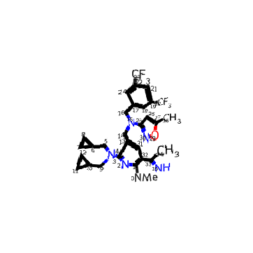 CNc1nc(N(CC2CC2)CC2CC2)c(CN(Cc2cc(C(F)(F)F)cc(C(F)(F)F)c2)c2cc(C)on2)cc1C(C)=N